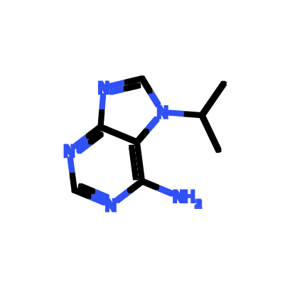 CC(C)n1cnc2ncnc(N)c21